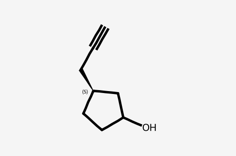 C#CC[C@@H]1CCC(O)C1